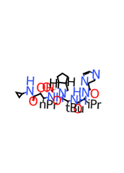 CCC[C@H](NC(=O)[C@@H]1[C@H]2CCC[C@H]2CN1C(=O)[C@@H](NC(=O)[C@@H](NC(=O)c1cnccn1)C(C)C)C(C)(C)C)C(O)C(=O)NC1CC1